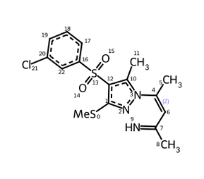 CSc1nn(/C(C)=C\C(C)=N)c(C)c1S(=O)(=O)c1cccc(Cl)c1